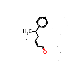 CC(C/C=C\C=O)c1ccccc1